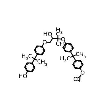 CC(C)(c1ccc(O)cc1)c1ccc(OCC(O)C(C)(C)Oc2ccc(C(C)(C)c3ccc(OC4CO4)cc3)cc2)cc1